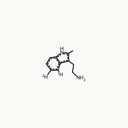 [2H]c1ccc2[nH]c(C)c(CCN)c2c1[2H]